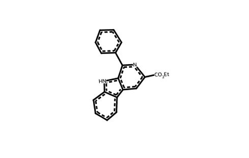 CCOC(=O)c1cc2c([nH]c3ccccc32)c(-c2ccccc2)n1